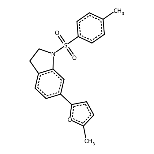 Cc1ccc(S(=O)(=O)N2CCc3ccc(-c4ccc(C)o4)cc32)cc1